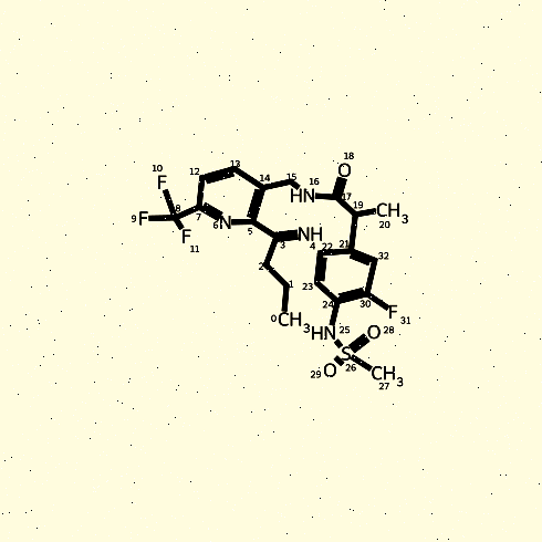 CCCC(=N)c1nc(C(F)(F)F)ccc1CNC(=O)C(C)c1ccc(NS(C)(=O)=O)c(F)c1